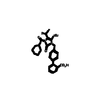 CCCCc1c(C(F)F)n(C(=O)C2CCCCC2)c(=O)n1Cc1ccc(-c2ccccc2C(=O)O)cc1